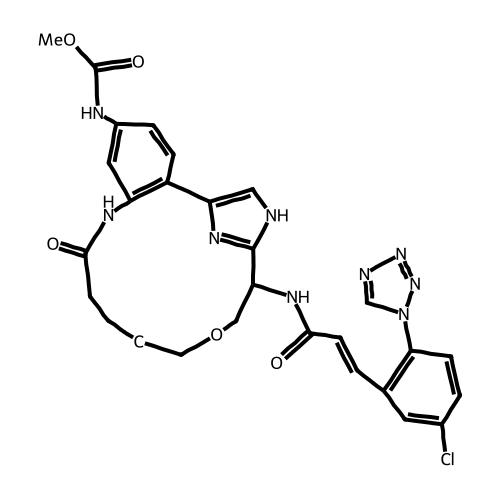 COC(=O)Nc1ccc2c(c1)NC(=O)CCCCOCC(NC(=O)C=Cc1cc(Cl)ccc1-n1cnnn1)c1nc-2c[nH]1